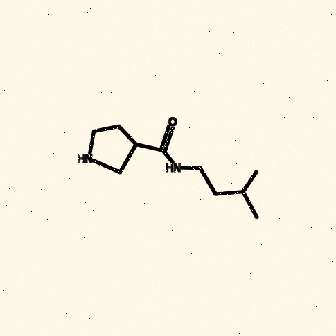 CC(C)CCNC(=O)C1CCNC1